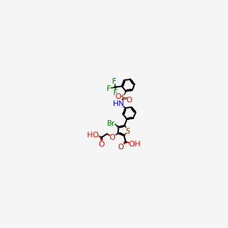 O=C(O)COc1c(C(=O)O)sc(-c2cccc(NS(=O)(=O)c3ccccc3C(F)(F)F)c2)c1Br